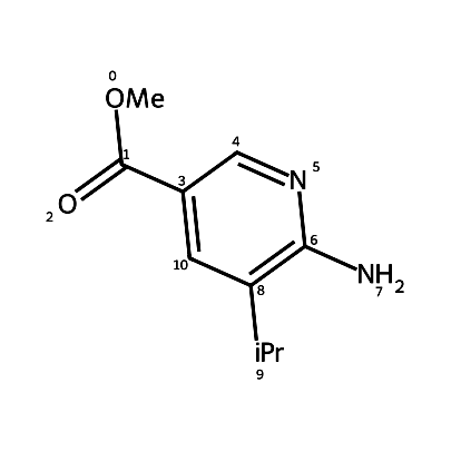 COC(=O)c1cnc(N)c(C(C)C)c1